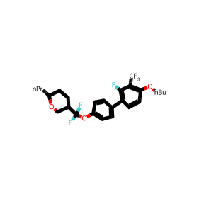 CCCCOc1ccc(-c2ccc(OC(F)(F)C3CCC(CCC)OC3)cc2)c(F)c1C(F)(F)F